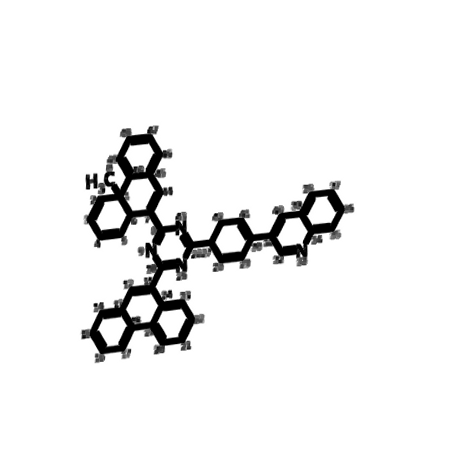 CC12C=CC=CC1C(c1nc(-c3cc4ccccc4c4ccccc34)nc(C3C=CC(c4cnc5ccccc5c4)=CC3)n1)=Cc1ccccc12